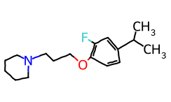 CC(C)c1ccc(OCCCN2CCCCC2)c(F)c1